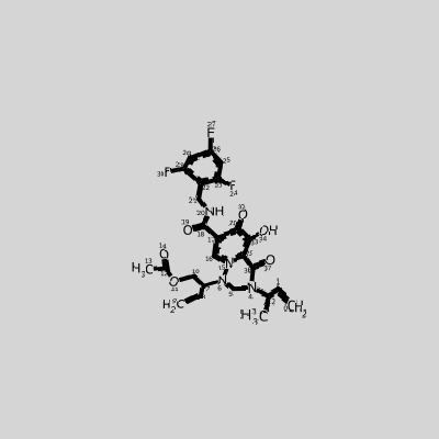 C=CC(C)N1CN(C(C=C)COC(C)=O)n2cc(C(=O)NCc3c(F)cc(F)cc3F)c(=O)c(O)c2C1=O